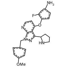 COc1ccc(Cn2nc(C3CCCN3)c3c(Oc4ccc(N)cc4F)ccnc32)cc1